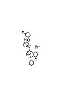 CC1(c2ncc(C[N+]34CCC(CC3)[C@@H](Oc3cccc(F)c3)C4)o2)c2ccccc2Oc2ccccc21.[Br-]